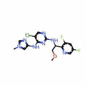 COCC(Nc1ncc(Cl)c(Nc2cn(C)cn2)n1)c1ncc(F)cc1F